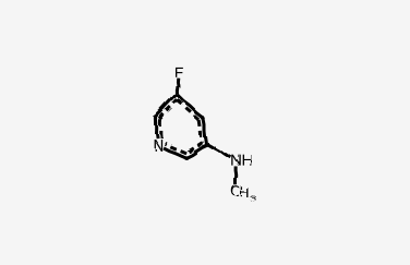 CNc1cncc(F)c1